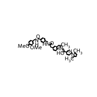 COc1ccc(CNC(=O)c2ccc(CNC(=O)Cc3cccc(C[C@@H](C)NC[C@@H](O)c4ccc(-n5c(C)ccc5C)nc4)c3)cc2)cc1OC